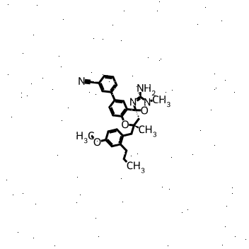 CCCc1cc(OC)ccc1C[C@@]1(C)C[C@@]2(N=C(N)N(C)O2)c2cc(-c3cccc(C#N)c3)ccc2O1